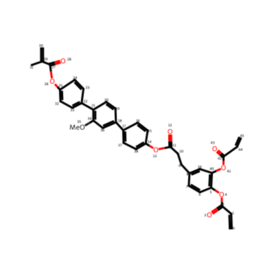 C=CC(=O)Oc1ccc(CCC(=O)Oc2ccc(-c3ccc(-c4ccc(OC(=O)C(=C)C)cc4)c(OC)c3)cc2)cc1OC(=O)C=C